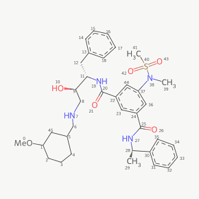 COC1CCCC(CNC[C@@H](O)[C@H](Cc2ccccc2)NC(=O)c2cc(C(=O)N[C@H](C)c3ccccc3)cc(N(C)S(C)(=O)=O)c2)C1